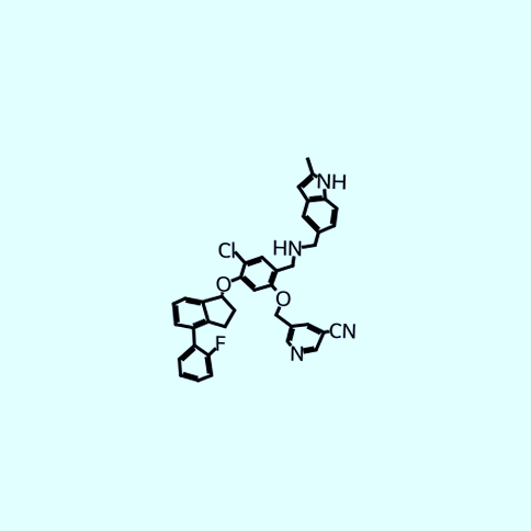 Cc1cc2cc(CNCc3cc(Cl)c(O[C@H]4CCc5c(-c6ccccc6F)cccc54)cc3OCc3cncc(C#N)c3)ccc2[nH]1